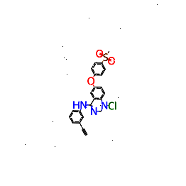 C#Cc1cccc(NC2=NCN(Cl)c3ccc(Oc4ccc(S(C)(=O)=O)cc4)cc32)c1